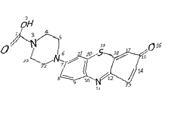 O=C(O)N1CCN(c2ccc3nc4ccc(=O)cc-4sc3c2)CC1